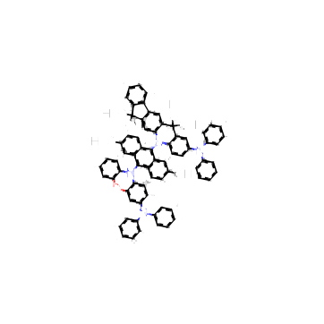 Cc1ccc2c(N3c4ccc(N(c5ccccc5)c5ccccc5)cc4C(C)(C)c4cc5c(cc43)C(C)(C)c3ccccc3-5)c3cc(C)ccc3c(N3c4ccccc4Oc4cc(N(c5ccccc5)c5ccccc5)ccc43)c2c1